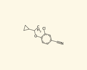 CC(Oc1ccc(C#N)cc1Cl)C1CC1